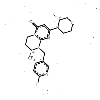 C[C@@H]1COCCN1c1cc(=O)n2c(n1)N(Cc1ccc(F)nc1)[C@H](C(F)(F)F)CC2